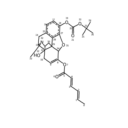 CC=CC=CC(=O)OC1=CCC2(O)C3Cc4ccc(OC(=O)OC(C)(C)C)c5c4C2(CCN3C)C1O5